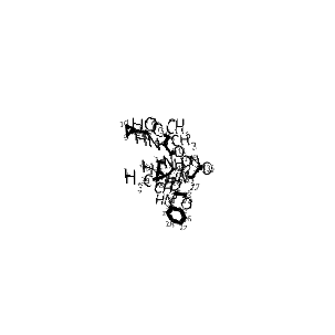 CC(C)(C)[C@H](NC(=O)C1CC1)C(=O)N1C[C@H]2[C@@H]([C@H]1C(=O)N[C@@H](C[C@@H]1Oc3ccccc3NC1=O)C(N)=O)C2(C)C